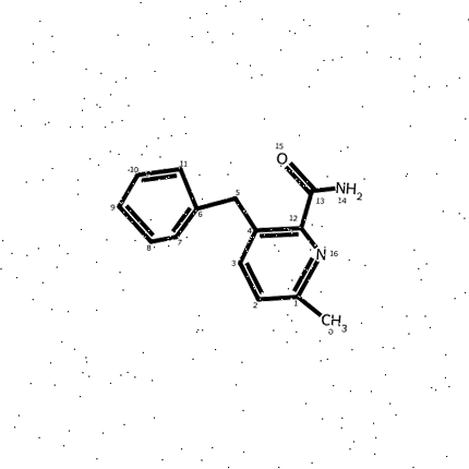 Cc1ccc(Cc2ccccc2)c(C(N)=O)n1